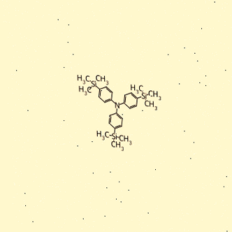 C[Si](C)(C)c1ccc(N(c2ccc([Si](C)(C)C)cc2)c2ccc([Si](C)(C)C)cc2)cc1